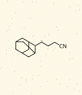 N#CCC[C]C1C2CC3CC(C2)CC1C3